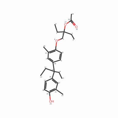 CCC(CC)(COc1ccc(C(CC)(CC)c2ccc(O)c(C)c2)cc1C)OC(C)=O